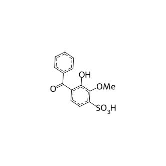 COc1c(S(=O)(=O)O)ccc(C(=O)c2ccccc2)c1O